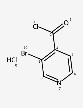 Cl.O=C(Cl)c1ccncc1Br